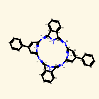 c1ccc(-c2cc3nc(c2)nc2[nH]c(nc4cc(-c5ccccc5)cc(n4)nc4[nH]c(n3)c3ccccc43)c3ccccc23)cc1